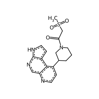 CS(=O)(=O)CC(=O)N1CCCC(c2ccnc3cnc4[nH]ccc4c23)C1